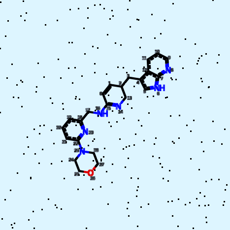 C1=CC(Cc2c[nH]c3ncccc23)CN=C1NCc1cccc(N2CCOCC2)n1